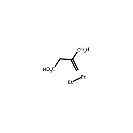 C=C(CC(=O)O)C(=O)O.C[CH2][Pb]